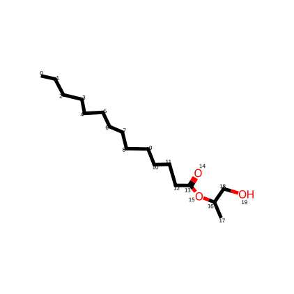 CCCCCCCCCCCCCC(=O)OC(C)CO